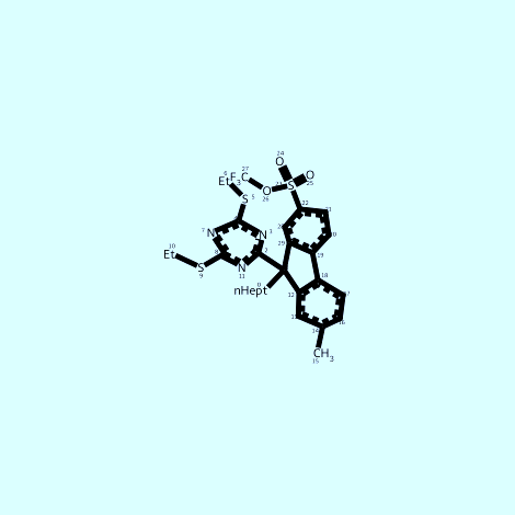 CCCCCCCC1(c2nc(SCC)nc(SCC)n2)c2cc(C)ccc2-c2ccc(S(=O)(=O)OC(F)(F)F)cc21